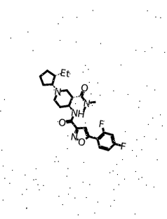 CC[C@H]1CCC[C@H]1N1CC[C@H](NC(=O)c2cc(-c3ccc(F)cc3F)on2)[C@@H](C(=O)N(C)C)C1